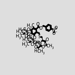 COC(=O)[C@H](CSCc1c(O[Si](C)(C)C(C)(C)C)cc(O[Si](C)(C)C(C)(C)C)c(C)c1C(=O)OCc1ccc([N+](=O)[O-])cc1)NC(=O)[C@H](C)O